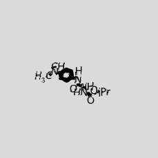 CC(C)OC(=O)NNC(=O)Nc1ccc(N(C)C)cc1